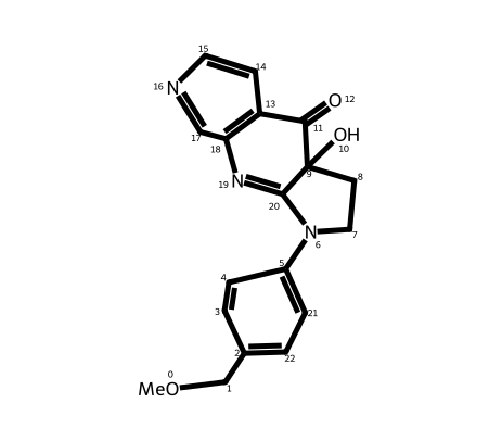 COCc1ccc(N2CCC3(O)C(=O)c4ccncc4N=C23)cc1